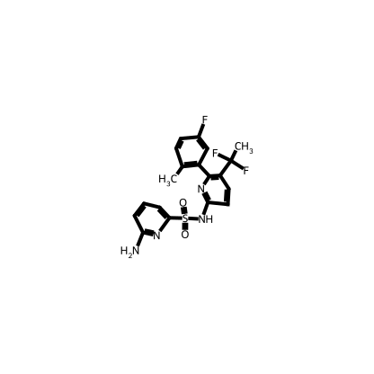 Cc1ccc(F)cc1-c1nc(NS(=O)(=O)c2cccc(N)n2)ccc1C(C)(F)F